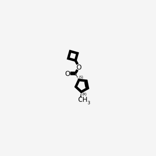 C[C@H]1C=C[C@@H](C(=O)OC2CCC2)C1